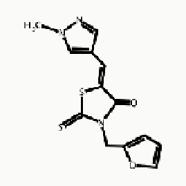 Cn1cc(/C=C2\SC(=S)N(Cc3ccco3)C2=O)cn1